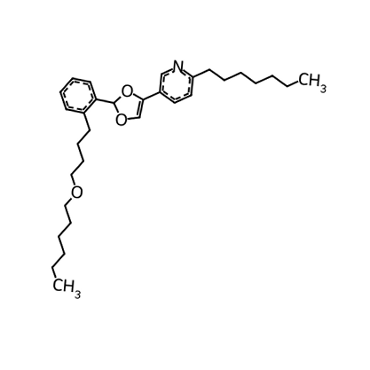 CCCCCCCc1ccc(C2=COC(c3ccccc3CCCCOCCCCCC)O2)cn1